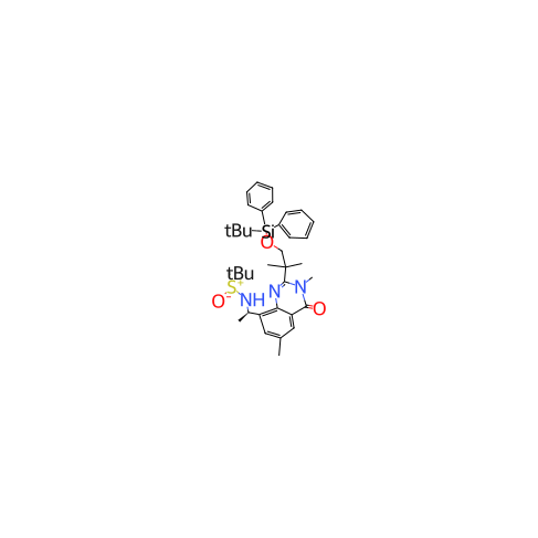 Cc1cc([C@@H](C)N[S@+]([O-])C(C)(C)C)c2nc(C(C)(C)CO[Si](c3ccccc3)(c3ccccc3)C(C)(C)C)n(C)c(=O)c2c1